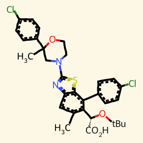 Cc1cc2nc(N3CCOC(C)(c4ccc(Cl)cc4)C3)sc2c(-c2ccc(Cl)cc2)c1[C@H](OC(C)(C)C)C(=O)O